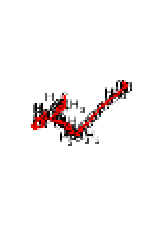 C/C=C1\CN2C(=O)c3cc(OC)c(OCc4cc(COc5cc6c(cc5OC)C(=O)NCc5ccccc5CC/C=N\6)cc(N(C)C(=O)OCc5ccc(NC(=O)[C@H](C)NC(=O)[C@@H](NC(=O)CCOCCOCCOCCOCCOCCOCCOCCOCCNC(=O)CCN6C(=O)C=CC6=O)C(C)C)cc5)c4)cc3N=C[C@]2(C)C1